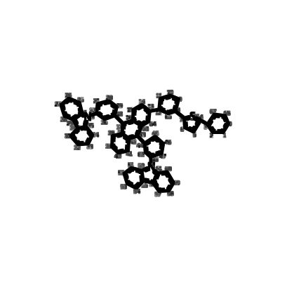 c1ccc(-c2ccc(-c3cccc(-c4ccc5c(-c6cccc(-n7c8ccccc8c8ccccc87)c6)c6ccccc6c(-c6cccc(-n7c8ccccc8c8ccccc87)c6)c5c4)c3)s2)cc1